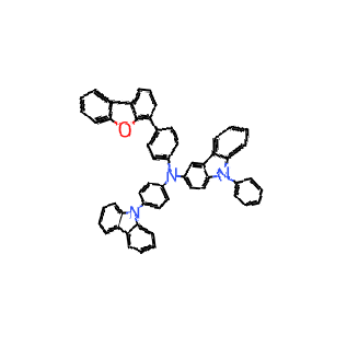 c1ccc(-n2c3ccccc3c3cc(N(c4ccc(-c5cccc6c5oc5ccccc56)cc4)c4ccc(-n5c6ccccc6c6ccccc65)cc4)ccc32)cc1